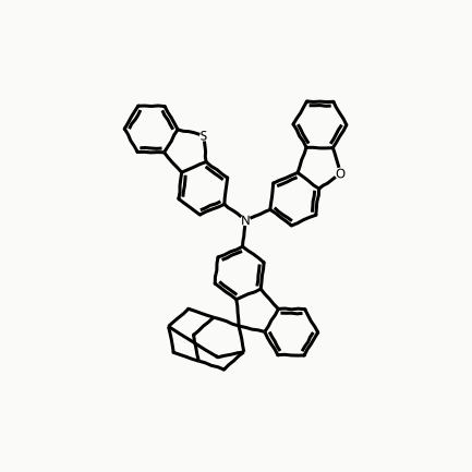 c1ccc2c(c1)-c1cc(N(c3ccc4c(c3)sc3ccccc34)c3ccc4oc5ccccc5c4c3)ccc1C21C2CC3CC(C2)CC1C3